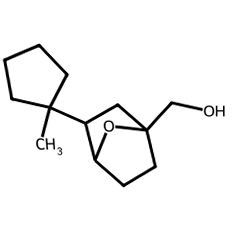 CC1(C2CC3(CO)CCC2O3)CCCC1